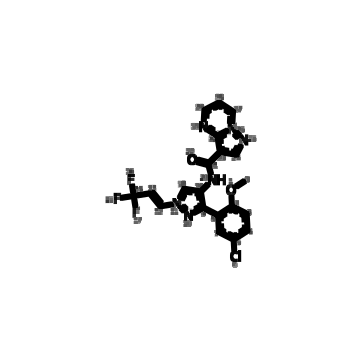 COc1ccc(Cl)cc1-c1nn(C=CC(F)(F)F)cc1NC(=O)c1cnn2cccnc12